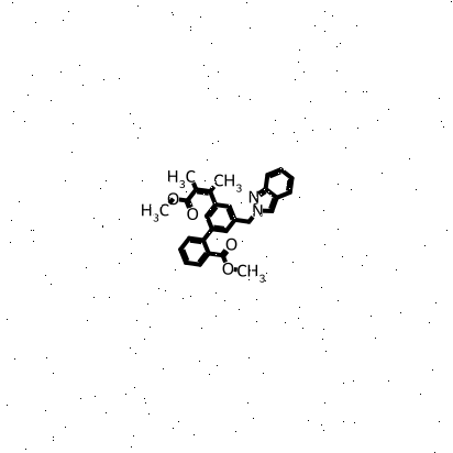 COC(=O)/C(C)=C(/C)c1cc(Cn2cc3ccccc3n2)cc(-c2ccccc2C(=O)OC)c1